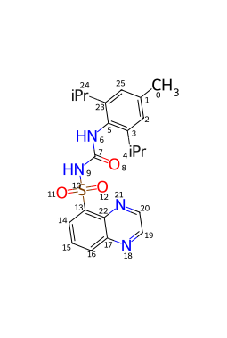 Cc1cc(C(C)C)c(NC(=O)NS(=O)(=O)c2cccc3nccnc23)c(C(C)C)c1